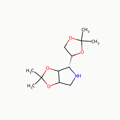 CC1(C)OCC([C@@H]2NCC3OC(C)(C)OC32)O1